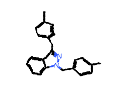 Cc1ccc(Cn2nc(-c3ccc(C)cc3)c3ccccc32)cc1